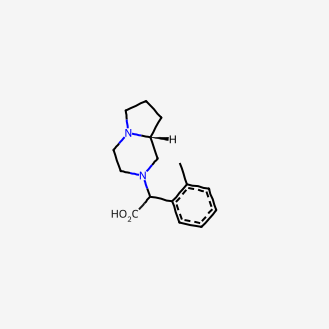 Cc1ccccc1C(C(=O)O)N1CCN2CCC[C@@H]2C1